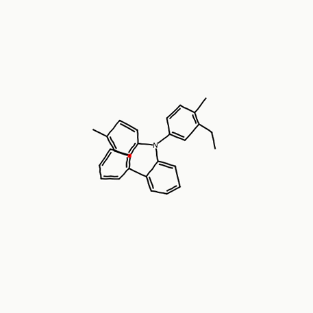 CCc1cc(N(c2ccc(C)cc2)c2ccccc2-c2ccccc2)ccc1C